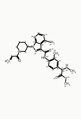 C=CC(=O)N1CCCC(n2nc(C(=O)Nc3ccc([C@@H](NC)C(=O)OC)cc3C)c3c(N)ncnc32)C1